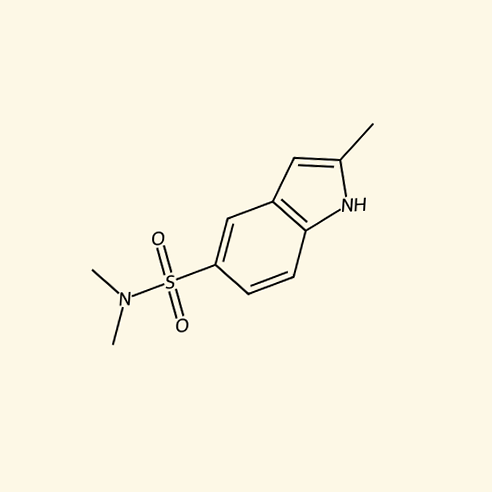 Cc1cc2cc(S(=O)(=O)N(C)C)ccc2[nH]1